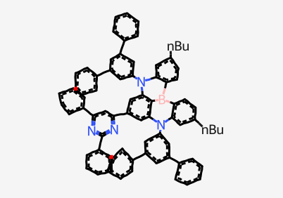 CCCCc1ccc2c(c1)N(c1cc(-c3ccccc3)cc(-c3ccccc3)c1)c1cc(-c3cc(-c4ccccc4)nc(-c4ccccc4)n3)cc3c1B2c1ccc(CCCC)cc1N3c1cc(-c2ccccc2)cc(-c2ccccc2)c1